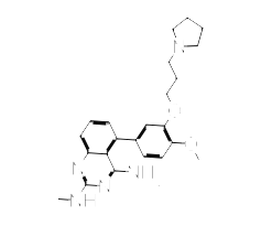 CNc1nc(N)c2c(-c3ccc(OC)c(OCCCN4CCCC4)c3)cccc2n1